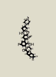 CN1CCN(c2ccc(Nc3cc(-c4cc(F)cc(N5CCn6c(cc7c6CC(C)(C)C7)C5=O)c4CO)cn(C)c3=O)nc2)CC1